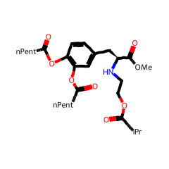 CCCCCC(=O)Oc1ccc(C[C@H](NCCOC(=O)C(C)C)C(=O)OC)cc1OC(=O)CCCCC